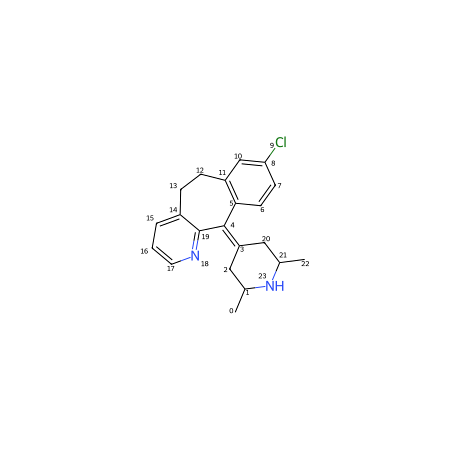 CC1CC(=C2c3ccc(Cl)cc3CCc3cccnc32)CC(C)N1